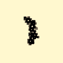 CCCC(C[C@H]1CCC2=C1[C@@H](C)c1cnn(-c3ccc(F)cc3)c1C2)NC(=O)Cc1cccnc1